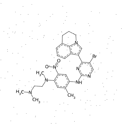 Cc1cc(N(C)CCN(C)C)c([N+](=O)[O-])cc1Nc1ncc(Br)c(-c2cn3c4c(cccc24)CCC3)n1